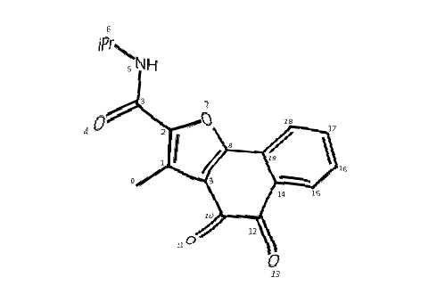 Cc1c(C(=O)NC(C)C)oc2c1C(=O)C(=O)c1ccccc1-2